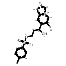 Cc1ccc(S(=O)(=O)OCCC(O)c2cc3nncn3cc2F)cc1